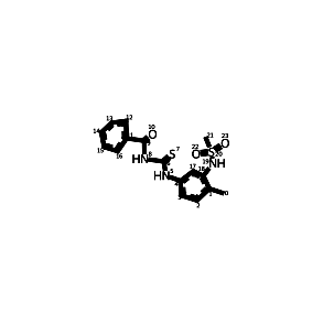 Cc1ccc(NC(=S)NC(=O)c2ccccc2)cc1NS(C)(=O)=O